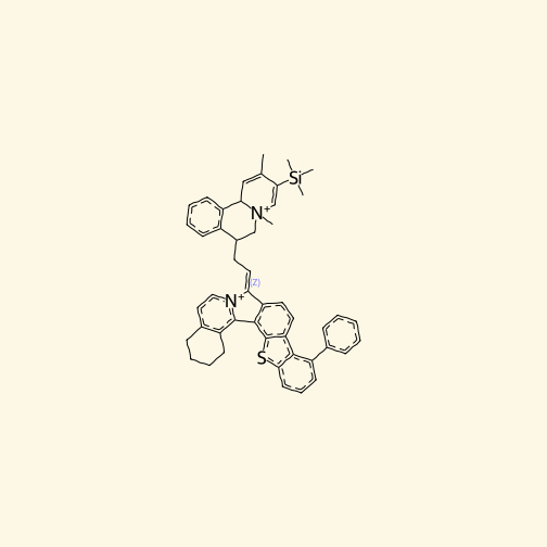 CC1=CC2c3ccccc3C(C/C=C3/c4ccc5c(sc6cccc(-c7ccccc7)c65)c4-c4c5c(cc[n+]43)CCCC5)C[N+]2(C)C=C1[Si](C)(C)C